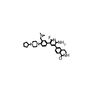 CN(C)Cc1cc(-c2cc(-c3ccc4c(c3)CCNC4=O)c(N)nc2F)ccc1N1CCN(C2CCCC2)CC1